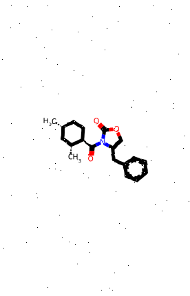 C[C@@H]1CC[C@@H](C(=O)N2C(=O)OCC2Cc2ccccc2)[C@H](C)C1